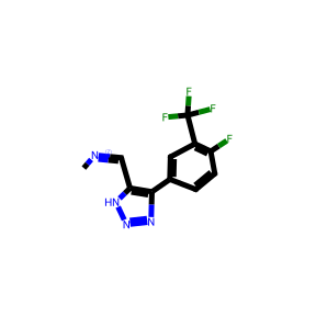 C/N=C\c1[nH]nnc1-c1ccc(F)c(C(F)(F)F)c1